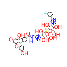 O=C1C=CC2C(=C1)Oc1cc(O)ccc1C2c1ccc(C(=O)NCc2cn(C3C(O)[C@@H](CO)OC(S[C@@H]4OC(CO)[C@H](O)C(n5cc(-c6cccc(F)c6)nn5)[C@@H]4O)[C@@H]3O)nn2)cc1C(=O)O